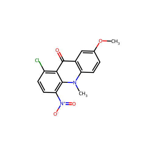 COc1ccc2c(c1)c(=O)c1c(Cl)ccc([N+](=O)[O-])c1n2C